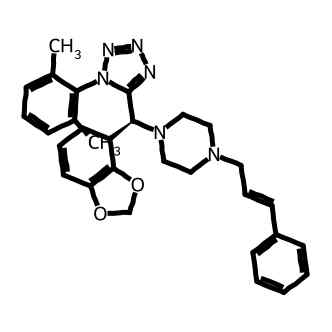 Cc1cccc(C)c1-n1nnnc1[C@H](C1CC=CC2=C1OCO2)N1CCN(C/C=C/c2ccccc2)CC1